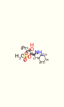 CC(C)C[C@H](O)[C@H](OS(C)(=O)=O)[C@@H](N)CC1CCCCC1